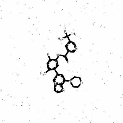 Cc1cc(F)c(NC(=O)c2cncc(C(C)(C)F)c2)cc1-c1cc(N2CCOCC2)c2nccn2c1